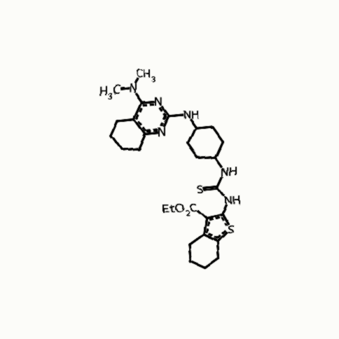 CCOC(=O)c1c(NC(=S)NC2CCC(Nc3nc4c(c(N(C)C)n3)CCCC4)CC2)sc2c1CCCC2